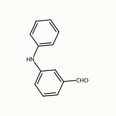 O=[C]c1cccc(Nc2ccccc2)c1